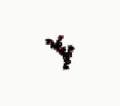 CC(C)(C)OC(=O)N(CCCC(=O)OC(COC(=O)CCCC1CCCCC1)COC(=O)CCCC1CCCCC1)CCCC(=O)OC(COC(=O)CCCC1CCCCC1)COC(=O)CCCC1CCCCC1